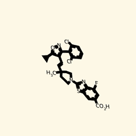 CC1(C=Cc2c(-c3c(Cl)cccc3Cl)noc2C2CC2)CCN(c2nc3c(F)cc(C(=O)O)cc3s2)CC1